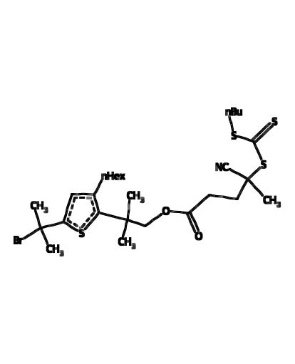 CCCCCCc1cc(C(C)(C)Br)sc1C(C)(C)COC(=O)CCC(C)(C#N)SC(=S)SCCCC